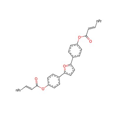 CCCC=CC(=O)Oc1ccc(-c2ccc(-c3ccc(OC(=O)C=CCCC)cc3)o2)cc1